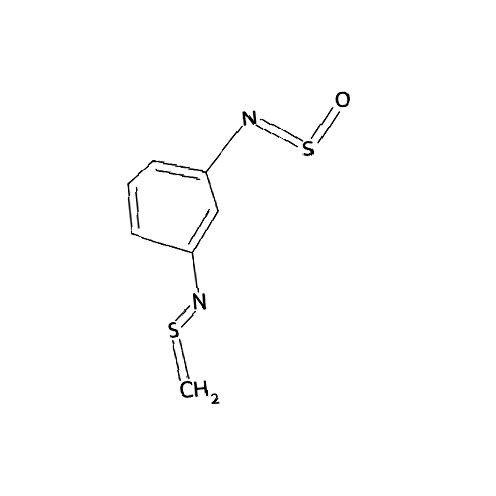 C=S=Nc1cccc(N=S=O)c1